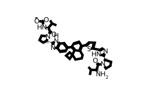 COC(=O)N[C@H](C(=O)N1CCC[C@H]1c1nc2ccc(-c3ccc(-c4ccc(-c5cnc([C@@H]6CCCN6C(=O)[C@@H](N)C(C)C)[nH]5)s4)c4c3C3(CCC4)CCC3)cc2[nH]1)C(C)C